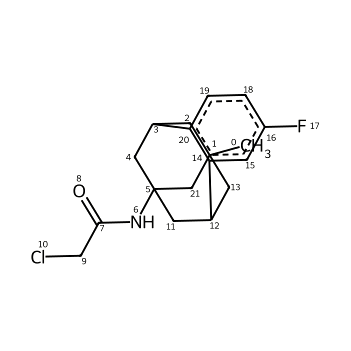 CC12CC3CC(NC(=O)CCl)(CC(C1)c1cc(F)ccc13)C2